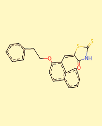 O=C1NC(=S)S/C1=C/c1c(OCCc2ccccc2)ccc2ccccc12